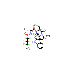 CC(C)C[C@@H](C(=O)N1C[C@]2(C[C@H]1C#N)C(=O)Nc1ccccc12)N(C)C(=O)[C@H](C)NC(=O)C(F)(F)C(F)(F)C(F)(F)C(F)(F)F